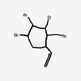 C=CC1CC(Br)C(Br)C(Br)C1Br